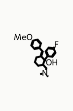 COc1ccc(C=C2CCCC(CN(C)C)C2(O)c2ccc(F)cc2)cc1